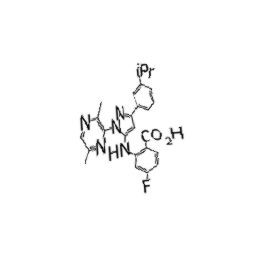 Cc1cnc(C)c(-n2nc(-c3cccc(C(C)C)c3)cc2Nc2cc(F)ccc2C(=O)O)n1